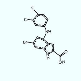 O=C(O)c1cc2c(Nc3ccc(F)c(Cl)c3)cc(Br)cc2[nH]1